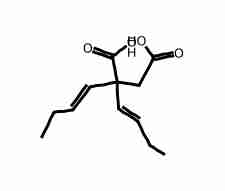 CCC=CC(C=CCC)(CC(=O)O)C(=O)O